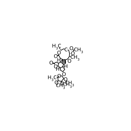 CC[C@H]1CCC[C@H](OC(C)=O)[C@@H](C)C(=O)C2=C[C@H]3[C@@H]4C[C@H](O[C@@H]5OC(C)[C@H](OC)C(OC)C5OC)C[C@H]4C4OC(=O)CC4[C@H]3[C@@H]2CC(=O)O1